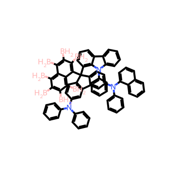 Bc1c(B)c(B)c2c(C3(c4cccc5c6ccccc6n(-c6ccccc6)c45)c4ccc(N(c5ccccc5)c5ccccc5)cc4-c4cc(N(c5ccccc5)c5cccc6ccccc56)ccc43)c(B)c(B)c(B)c2c1B